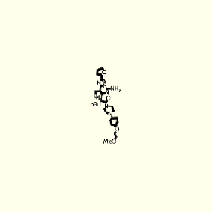 CCCC[C@H](C(=O)N1CCN(c2ccc(OCCOC)cc2)CC1)n1ncc2c1nc(N)n1nc(-c3ccco3)nc21